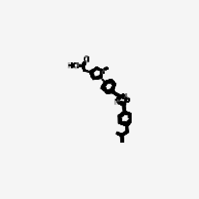 CC(C)Cc1ccc(-c2nc(-c3ccc([C@@H]4C[C@@H](CC(=O)O)CN4C)cc3)no2)cc1